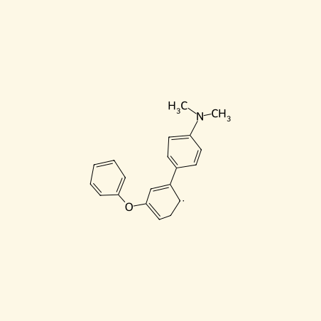 CN(C)c1ccc(C2=CC(Oc3ccccc3)=CC[CH]2)cc1